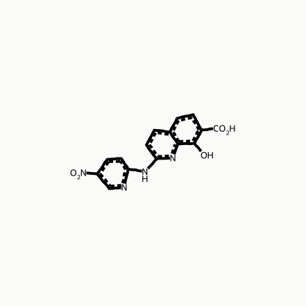 O=C(O)c1ccc2ccc(Nc3ccc([N+](=O)[O-])cn3)nc2c1O